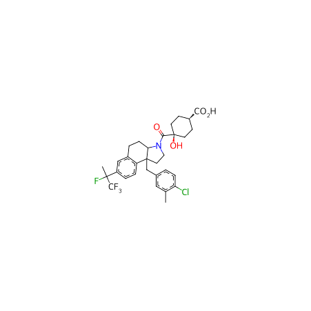 Cc1cc(CC23CCN(C(=O)[C@]4(O)CC[C@@H](C(=O)O)CC4)C2CCc2cc(C(C)(F)C(F)(F)F)ccc23)ccc1Cl